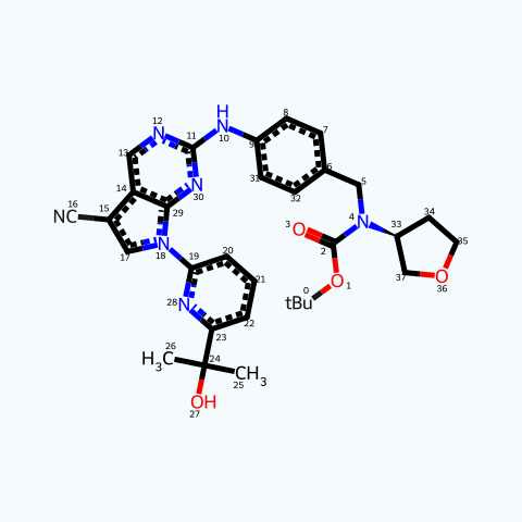 CC(C)(C)OC(=O)N(Cc1ccc(Nc2ncc3c(C#N)cn(-c4cccc(C(C)(C)O)n4)c3n2)cc1)[C@H]1CCOC1